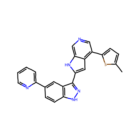 Cc1ccc(-c2cncc3[nH]c(-c4n[nH]c5ccc(-c6ccccn6)cc45)cc23)s1